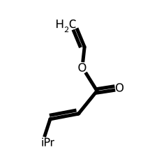 C=COC(=O)C=CC(C)C